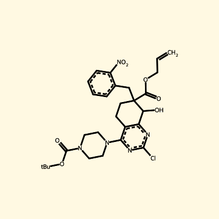 C=CCOC(=O)C1(Cc2ccccc2[N+](=O)[O-])CCc2c(nc(Cl)nc2N2CCN(C(=O)OC(C)(C)C)CC2)C1O